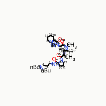 CCCCN(CCCC)CCCNC(=O)[C@@H]1CCCN1C(=O)/C(C)=C/[C@H](C(C)C)N(C)C(=O)[C@@H](NC(=O)C1CCCCN1C(C)C)C(C)(C)C